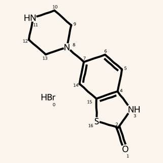 Br.O=c1[nH]c2ccc(N3CCNCC3)cc2s1